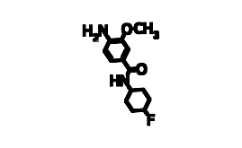 COc1cc(C(=O)NC2CCC(F)CC2)ccc1N